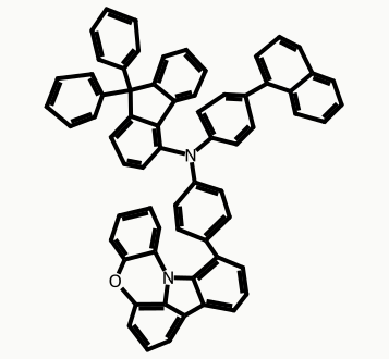 c1ccc(C2(c3ccccc3)c3ccccc3-c3c(N(c4ccc(-c5cccc6ccccc56)cc4)c4ccc(-c5cccc6c7cccc8c7n(c56)-c5ccccc5O8)cc4)cccc32)cc1